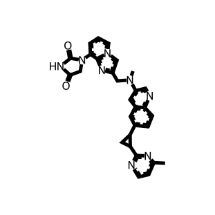 Cc1ccnc(C2CC2c2ccc3ncc(N(C)Cc4cn5cccc(N6CC(=O)NC6=O)c5n4)cc3c2)n1